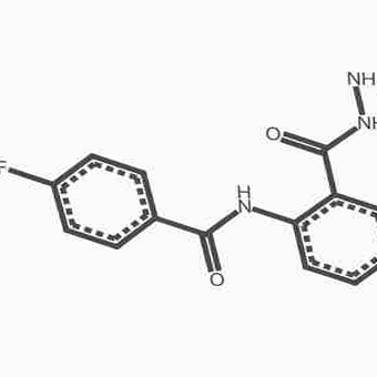 NNC(=O)c1ccccc1NC(=O)c1ccc(F)cc1